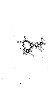 CC1=CC2C(=O)O[C@@H]3CC(CC(=O)[C@H](C)C(O)/C(C)=C/C(C)C)O[C@H](C/C=C(\C)C[C@@H](C)/C=C/C=C4\COC(C1O)C42)C3